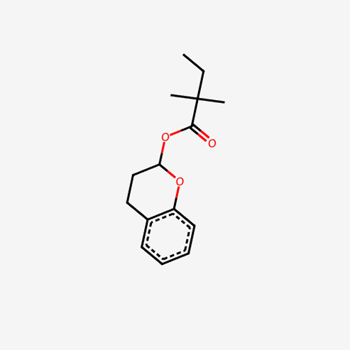 CCC(C)(C)C(=O)OC1CCc2ccccc2O1